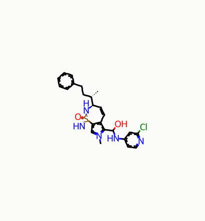 C[C@@H](CCc1ccccc1)[C@H]1C=Cc2c(cn(C)c2C(O)Nc2ccnc(Cl)c2)S(=N)(=O)N1